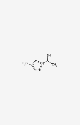 CC(S)n1cc(C(F)(F)F)cn1